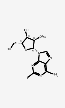 CO[C@@H]1[C@H](O)[C@@H](CO)O[C@H]1n1cnc2c(N)nc(I)nc21